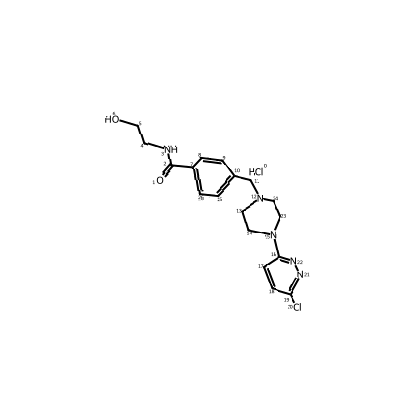 Cl.O=C(NCCO)c1ccc(CN2CCN(c3ccc(Cl)nn3)CC2)cc1